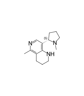 Cc1ncc([C@@H]2CCCN2C)c2c1CCCN2